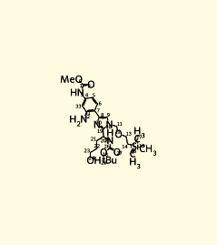 COC(=O)Nc1ccc(-c2cn(COCC[Si](C)(C)C)c(C(CCCO)NC(=O)OC(C)(C)C)n2)c(N)c1